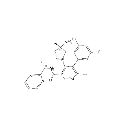 Cc1ncc(C(=O)N[C@@H](C)c2ccccn2)c(N2CC[C@](C)(N)C2)c1-c1cc(F)cc(Cl)c1